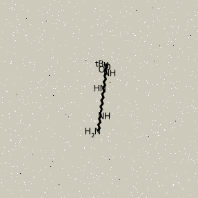 CC(C)(C)OC(=O)NCCCCNCCCCCCCCNCCCCN